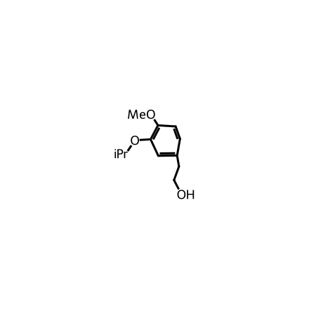 COc1ccc(CCO)cc1OC(C)C